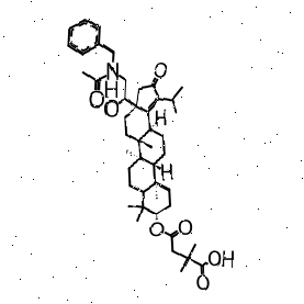 CC(=O)N(Cc1ccccc1)C[C@H](O)[C@@]12CC[C@]3(C)[C@H](CC[C@@H]4[C@@]5(C)CC[C@H](OC(=O)CC(C)(C)C(=O)O)C(C)(C)C5CC[C@]43C)C1=C(C(C)C)C(=O)C2